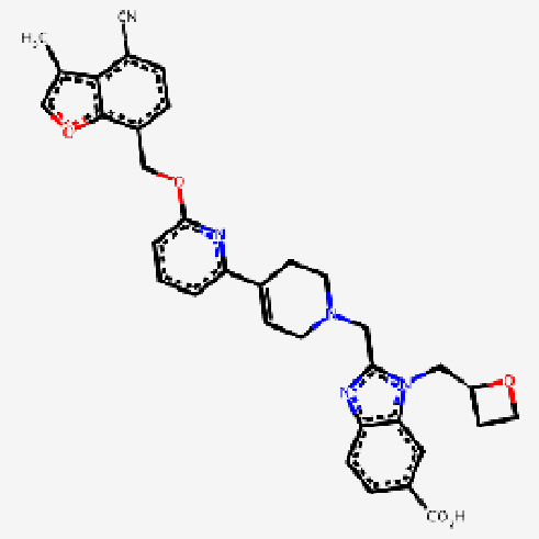 Cc1coc2c(COc3cccc(C4=CCN(Cc5nc6ccc(C(=O)O)cc6n5C[C@@H]5CCO5)CC4)n3)ccc(C#N)c12